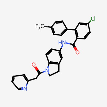 O=C(Nc1ccc2c(c1)CCN2C(=O)Cc1ccccn1)c1ccc(Cl)cc1-c1ccc(C(F)(F)F)cc1